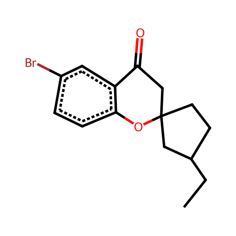 CCC1CCC2(CC(=O)c3cc(Br)ccc3O2)C1